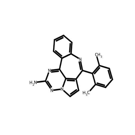 Cc1cccc(C)c1C1=Nc2ccccc2-c2nc(N)nn3ccc1c23